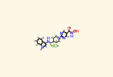 Cl.Cn1cc(NCC2CCN(c3ncc(C(=O)NO)cn3)CC2)c2ccccc21